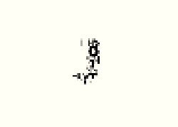 CC1(C)SC(c2nc3cc4c(cc3s2)NCC4)=NC1C(=O)O